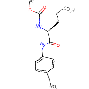 CC(C)(C)OC(=O)N[C@@H](CCC(=O)O)C(=O)Nc1ccc([N+](=O)[O-])cc1